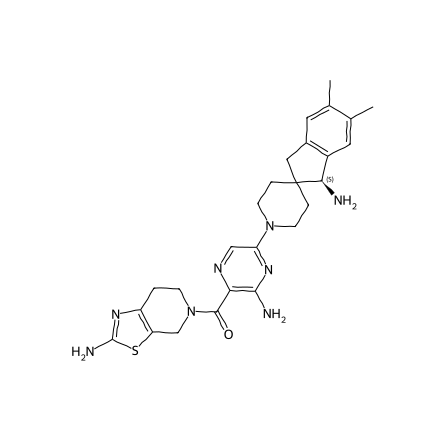 Cc1cc2c(cc1C)[C@@H](N)C1(CCN(c3cnc(C(=O)N4CCc5nc(N)sc5C4)c(N)n3)CC1)C2